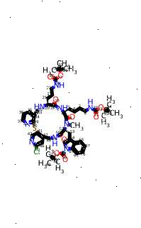 CN1C(=O)[C@H](CCCCNC(=O)OC(C)(C)C)NC(=O)[C@H](CCCNC(=O)OC(C)(C)C)NCc2cccnc2Sc2cnc(Cl)cc2CNC(=O)[C@@H]1Cc1cn(C(=O)OC(C)(C)C)c2ccccc12